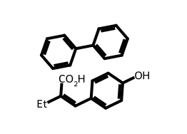 CCC(=Cc1ccc(O)cc1)C(=O)O.c1ccc(-c2ccccc2)cc1